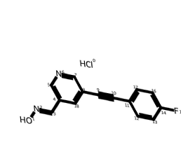 Cl.ON=Cc1cncc(C#Cc2ccc(F)cc2)c1